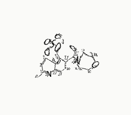 Cc1ccc2c(OS(=O)(=O)C(F)(F)F)c(C(=O)N3CCOCC3)ccc2n1